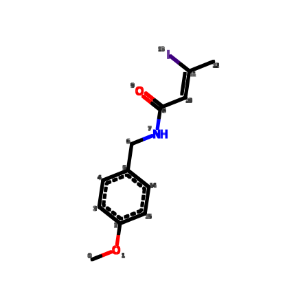 COc1ccc(CNC(=O)/C=C(/C)I)cc1